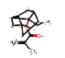 C=C(C)C(=O)OC1(CC)C2CC3CC34CC1C4C2